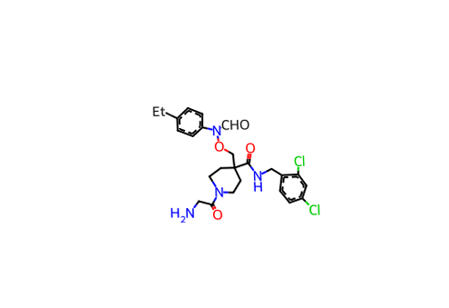 CCc1ccc(N(C=O)OCC2(C(=O)NCc3ccc(Cl)cc3Cl)CCN(C(=O)CN)CC2)cc1